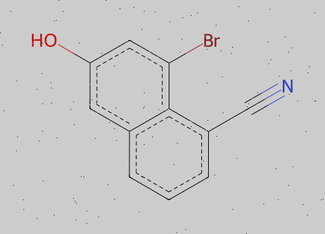 N#Cc1cccc2cc(O)cc(Br)c12